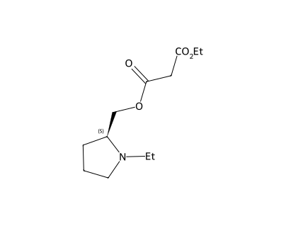 CCOC(=O)CC(=O)OC[C@@H]1CCCN1CC